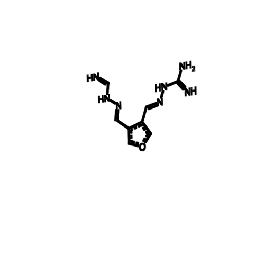 N=CN/N=C/c1cocc1/C=N/NC(=N)N